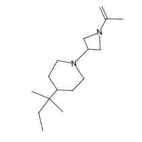 C=C(C)N1CC(N2CCC(C(C)(C)CC)CC2)C1